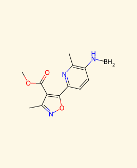 BNc1ccc(-c2onc(C)c2C(=O)OC)nc1C